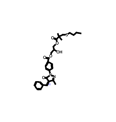 CCCCSCC(C)(C)C(=O)OCC(O)COC(=O)c1ccc(N2N=C(C)/C(=C/c3ccccc3)C2=O)cc1